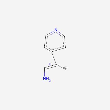 CC/C(=C\N)c1ccncc1